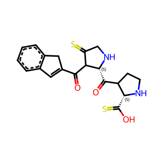 O=C(C1=Cc2ccccc2C1)C1C(=S)CN[C@@H]1C(=O)C1CCN[C@@H]1C(O)=S